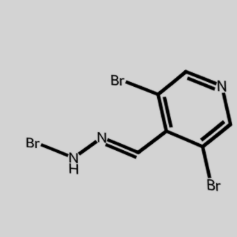 BrNN=Cc1c(Br)cncc1Br